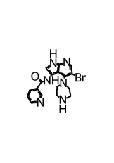 O=C(Nc1c[nH]c2ncc(Br)c(N3CCNCC3)c12)c1cccnc1